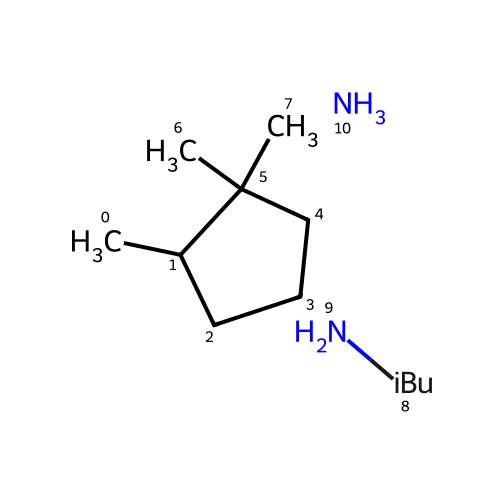 CC1CCCC1(C)C.CCC(C)N.N